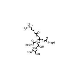 CCCCCCCC(=O)OCC(COC(=O)CCCCCCC)(COC(=O)CCCCN(C)C)COC(O)CCC(CCCC)C(CCCC)CCCC